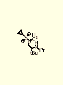 CC(C)N[C@H](CN(C)S(=O)(=O)C1CC1)C(C)(C)C